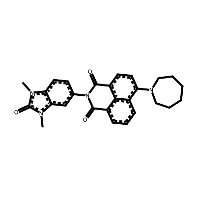 Cn1c(=O)n(C)c2cc(N3C(=O)c4cccc5c(N6CCCCCC6)ccc(c45)C3=O)ccc21